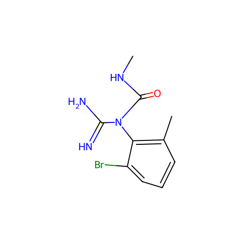 CNC(=O)N(C(=N)N)c1c(C)cccc1Br